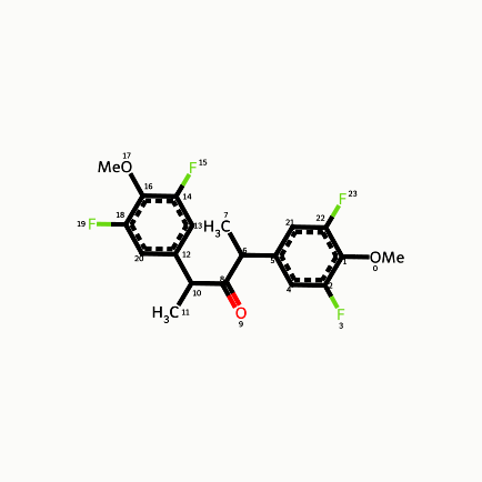 COc1c(F)cc(C(C)C(=O)C(C)c2cc(F)c(OC)c(F)c2)cc1F